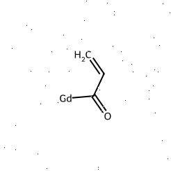 C=C[C](=O)[Gd]